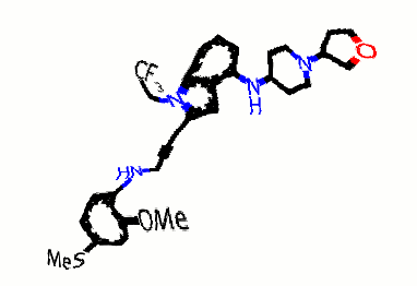 COc1cc(SC)ccc1NCC#Cc1cc2c(NC3CCN(C4CCOC4)CC3)cccc2n1CC(F)(F)F